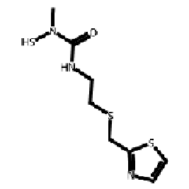 CN(S)C(=O)NCCSCc1nccs1